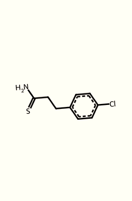 NC(=S)CCc1ccc(Cl)cc1